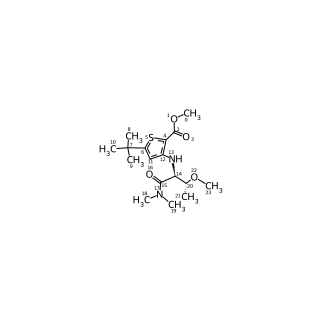 COC(=O)c1sc(C(C)(C)C)cc1N[C@H](C(=O)N(C)C)[C@@H](C)OC